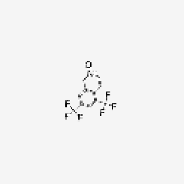 O=[N+]1C=Cc2c(cc(C(F)(F)F)cc2C(F)(F)F)C1